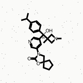 CC(C)c1ccc([C@](O)(c2cncc(N3CC4(CCCC4)OC3=O)c2)C2(C)CN(C)C2)cc1